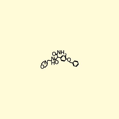 NC(=O)C(C(=O)NCCN1CCOCC1)c1ccc(OCc2ccccc2)cc1